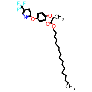 CCCCCCCCCCCCCCCCCOC(=O)C(C)Oc1ccc(Oc2ccc(C(F)(F)F)cn2)cc1